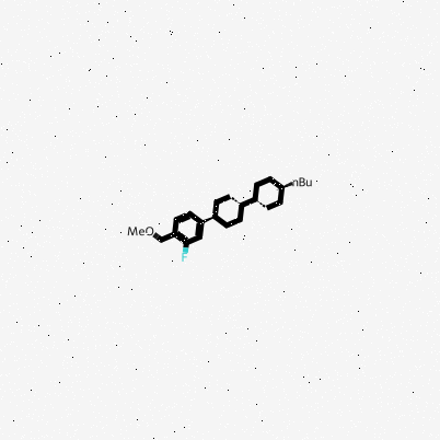 CCCC[C@H]1CC[C@H]([C@H]2CC[C@H](c3ccc(COC)c(F)c3)CC2)CC1